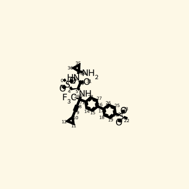 CS(=O)(=O)C[C@H](N[C@@](C#CC1CC1)(c1ccc(-c2ccc(S(C)(=O)=O)cc2)cc1)C(F)(F)F)C(=O)NC1(N)CC1